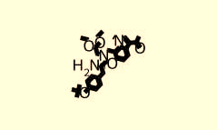 CCOC(CN(Cc1cccc2c(C(C)=O)cn(C)c12)C(=O)[C@@H](N)Cc1ccc(OC(C)(C)C)cc1)OCC